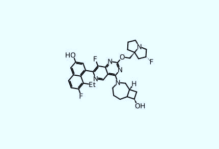 CCc1c(F)ccc2cc(O)cc(-c3ncc4c(N5CCCC6[C@@H](C[C@H]6O)C5)nc(OC[C@@]56CCCN5C[C@H](F)C6)nc4c3F)c12